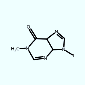 CN1C=NC2C(N=CN2I)C1=O